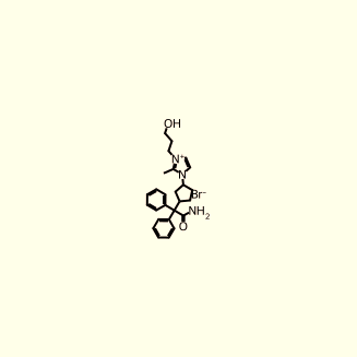 Cc1n(C2CCC(C(C(N)=O)(c3ccccc3)c3ccccc3)C2)cc[n+]1CCCO.[Br-]